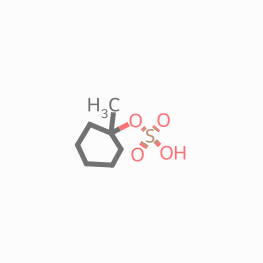 CC1(OS(=O)(=O)O)CCCCC1